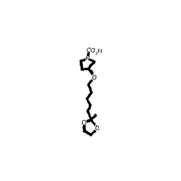 CC1(CCCCCOC2CCN(C(=O)O)C2)OCCO1